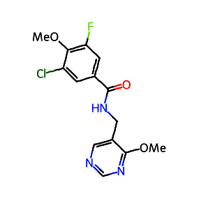 COc1ncncc1CNC(=O)c1cc(F)c(OC)c(Cl)c1